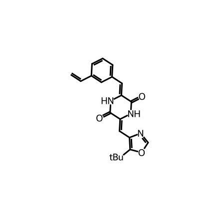 C=Cc1cccc(C=c2[nH]c(=O)c(=Cc3ncoc3C(C)(C)C)[nH]c2=O)c1